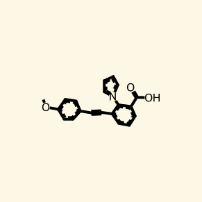 COc1ccc(C#Cc2cccc(C(=O)O)c2-n2cccc2)cc1